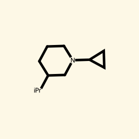 CC(C)C1CCCN(C2CC2)C1